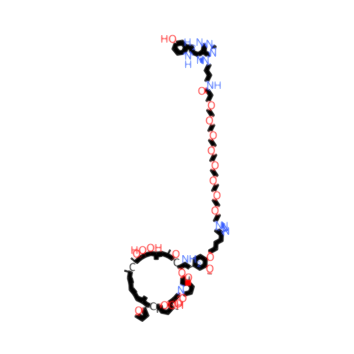 CO[C@@H]1C[C@H](C[C@@H](N)[C@@H]2CC(=O)[C@H](C)/C=C(\C)[C@@H](O)[C@@H](O)C(=O)[C@H](C)C[C@H](C)/C=C/C=C/C=C(\C)[C@@H](c3ccco3)C[C@@H]3CC[C@@H](C)[C@@](O)(O3)C(=O)C(=O)N3CCCC[C@H]3C(=O)O2)CC[C@H]1OCCCCc1cn(CCOCCOCCOCCOCCOCCOCCOCCOCCC(=O)NCCCCn2nc(-c3cc4cc(O)ccc4[nH]3)c3c(N)ncnc32)nn1